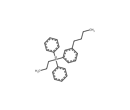 CCCCc1cccc([PH](CCC)(c2ccccc2)c2ccccc2)c1